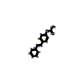 CC(C)C(=O)Oc1ccc(/C=C/c2ccccc2)cc1